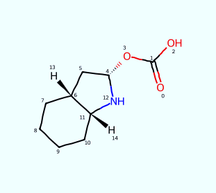 O=C(O)O[C@H]1C[C@H]2CCCC[C@H]2N1